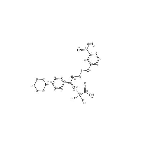 N=C(N)c1cccc(OCCNC(=O)c2ccc(N3CCCCC3)cc2)c1.O=C(O)C(F)(F)F